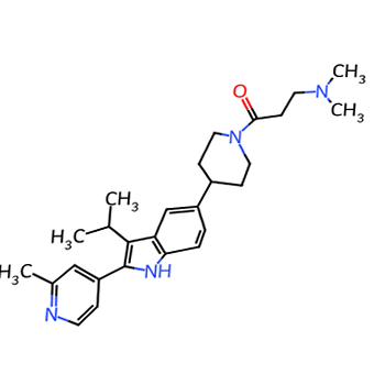 Cc1cc(-c2[nH]c3ccc(C4CCN(C(=O)CCN(C)C)CC4)cc3c2C(C)C)ccn1